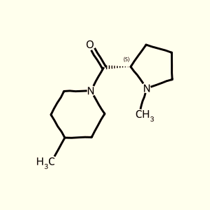 CC1CCN(C(=O)[C@@H]2CCCN2C)CC1